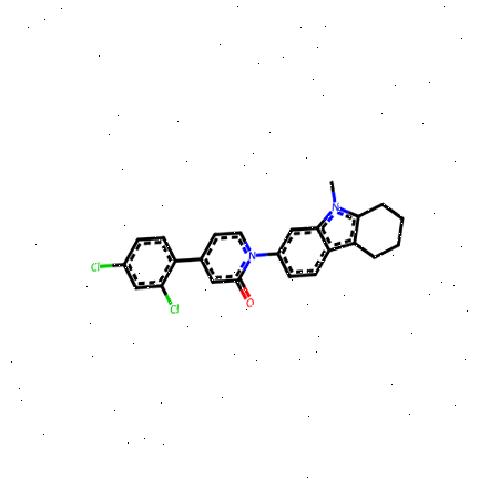 Cn1c2c(c3ccc(-n4ccc(-c5ccc(Cl)cc5Cl)cc4=O)cc31)CCCC2